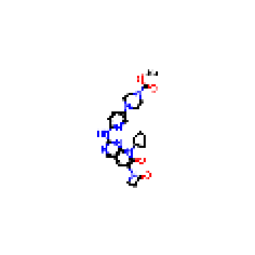 CC(C)(C)OC(=O)N1CCN(c2ccc(Nc3ncc4cc(N5CCC5=O)c(=O)n(C5CCCC5)c4n3)nc2)CC1